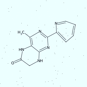 Cc1nc(-c2ccccn2)nc2c1NC(=O)CN2